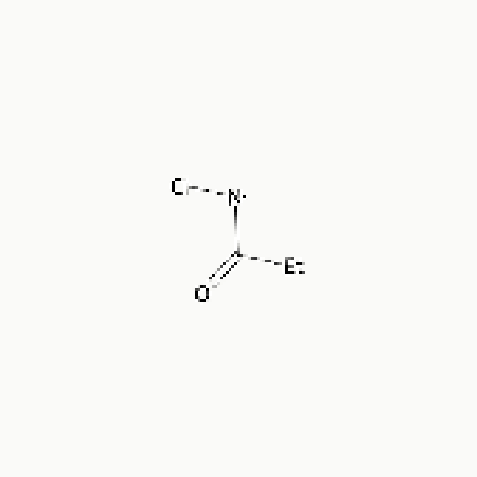 CCC(=O)[N]Cl